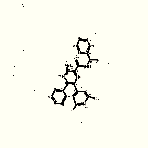 Cc1cc(-c2nc(C(=O)NC(C)c3ccccn3)c(N)nc2-c2ccccc2)cc(Cl)n1